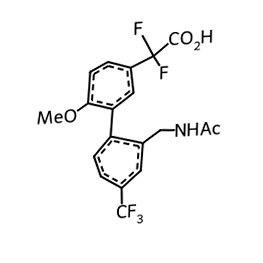 COc1ccc(C(F)(F)C(=O)O)cc1-c1ccc(C(F)(F)F)cc1CNC(C)=O